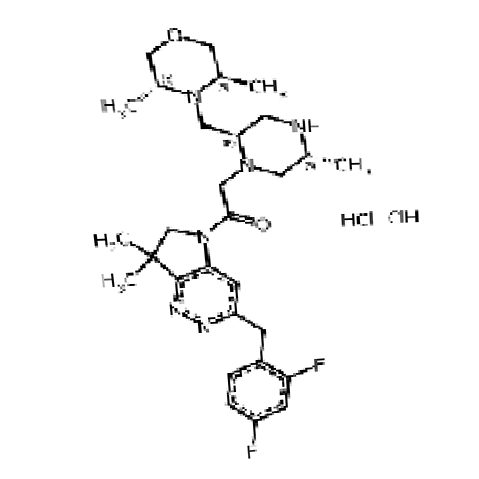 C[C@@H]1CN(CC(=O)N2CC(C)(C)c3nnc(Cc4ccc(F)cc4F)cc32)[C@@H](CN2[C@H](C)COC[C@H]2C)CN1.Cl.Cl